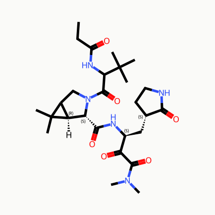 CCC(=O)NC(C(=O)N1CC2[C@@H]([C@H]1C(=O)N[C@@H](C[C@@H]1CCNC1=O)C(=O)C(=O)N(C)C)C2(C)C)C(C)(C)C